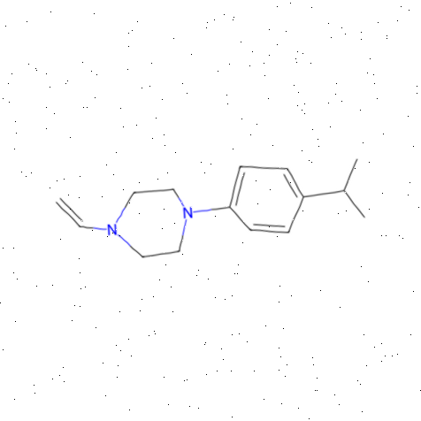 C=CN1CCN(c2ccc(C(C)C)cc2)CC1